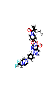 CC1(C(=O)N2CCC(O)(Cn3cnc4c(cnn4-c4ccc(N5CCN(CC(F)F)CC5)cc4)c3=O)CC2)CC1